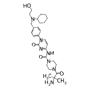 CC(C)(N)C(=O)N1CCN(C(=O)Nc2ccn(-c3ccc(CN(CCO)C4CCCCC4)cc3)c(=O)n2)CC1